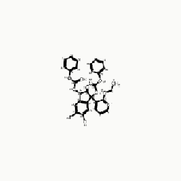 CCOc1ncccc1C1(OC(=O)Oc2ccccc2)C(=O)N(OC(=O)Oc2ccccc2)c2cc(F)c(Cl)cc21